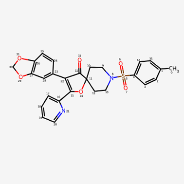 Cc1ccc(S(=O)(=O)N2CCC3(CC2)OC(c2ccccn2)=C(c2ccc4c(c2)OCO4)C3=O)cc1